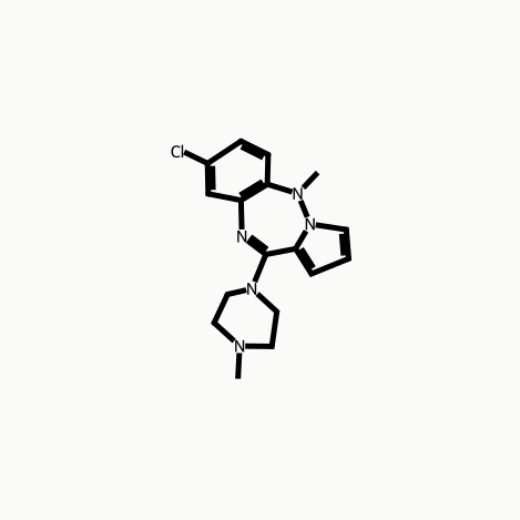 CN1CCN(C2=Nc3cc(Cl)ccc3N(C)n3cccc32)CC1